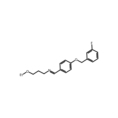 CCOCCCN=Cc1ccc(OCc2cccc(F)c2)cc1